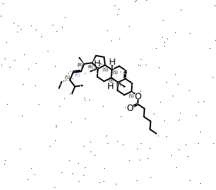 CCCCCC(=O)O[C@H]1CC[C@@]2(C)C(=CC[C@H]3[C@@H]4CC[C@H]([C@H](C)/C=C/[C@@H](CC)C(C)C)[C@@]4(C)CC[C@@H]32)C1